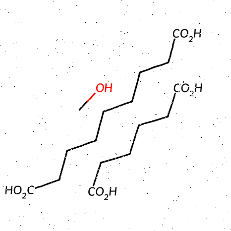 CO.O=C(O)CCCCC(=O)O.O=C(O)CCCCCCCC(=O)O